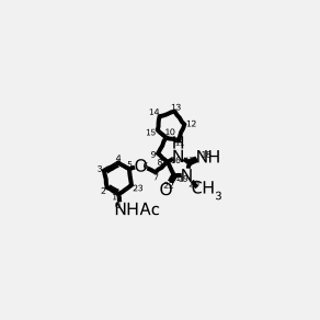 CC(=O)NC1=CC=CC(OCC2(CC3CCCCC3)NC(=N)N(C)C2=O)C1